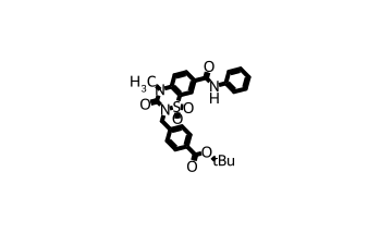 CN1C(=O)N(Cc2ccc(C(=O)OC(C)(C)C)cc2)S(=O)(=O)c2cc(C(=O)Nc3ccccc3)ccc21